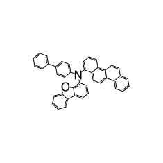 c1ccc(-c2ccc(N(c3cccc4c3ccc3c5ccccc5ccc43)c3cccc4c3oc3ccccc34)cc2)cc1